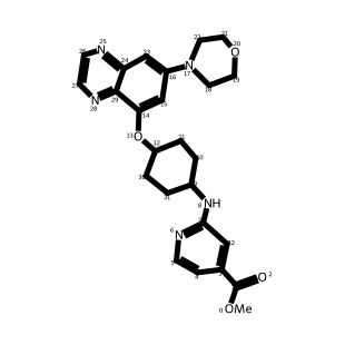 COC(=O)c1ccnc(NC2CCC(Oc3cc(N4CCOCC4)cc4nccnc34)CC2)c1